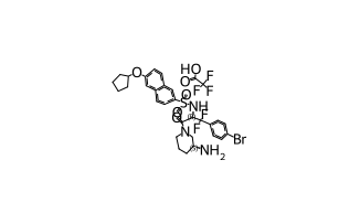 N[C@H]1CCCN(C(=O)[C@@H](NS(=O)(=O)c2ccc3cc(OC4CCCC4)ccc3c2)C(F)(F)c2ccc(Br)cc2)C1.O=C(O)C(F)(F)F